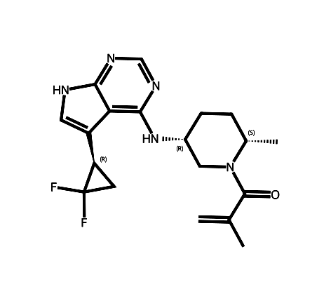 C=C(C)C(=O)N1C[C@H](Nc2ncnc3[nH]cc([C@H]4CC4(F)F)c23)CC[C@@H]1C